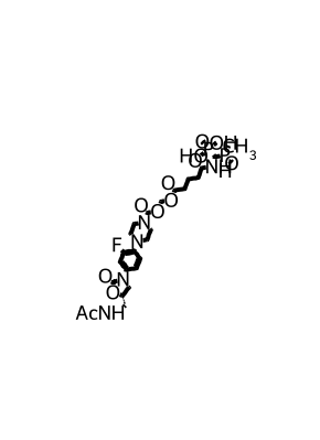 CC(=O)NC[C@H]1CN(c2ccc(N3CCN(C(=O)OCOC(=O)CCCC(=O)NC([PH](C)=O)P(=O)(O)O)CC3)c(F)c2)C(=O)O1